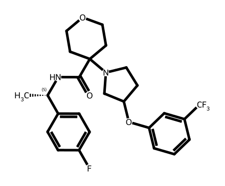 C[C@H](NC(=O)C1(N2CCC(Oc3cccc(C(F)(F)F)c3)C2)CCOCC1)c1ccc(F)cc1